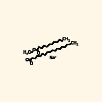 CCCCCCCCCCCC(=O)OCC.CCCCCCCCCCCCCCCCCC(=O)[O-].[Na+]